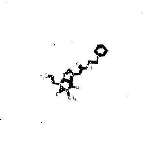 CCCn1c(=O)n(C)c(=O)c2c1ncn2CC(=O)NCCc1ccccc1